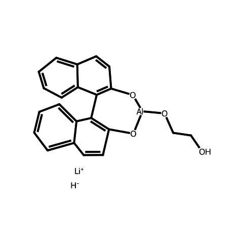 OCC[O][Al]1[O]c2ccc3ccccc3c2-c2c(ccc3ccccc23)[O]1.[H-].[Li+]